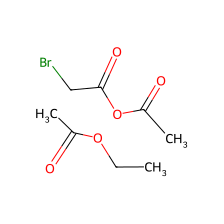 CC(=O)OC(=O)CBr.CCOC(C)=O